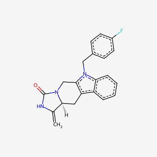 C=C1NC(=O)N2Cc3c(c4ccccc4n3Cc3ccc(F)cc3)C[C@@H]12